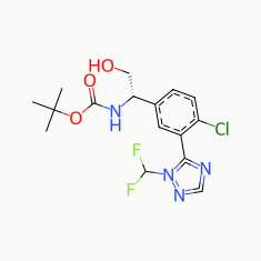 CC(C)(C)OC(=O)N[C@H](CO)c1ccc(Cl)c(-c2ncnn2C(F)F)c1